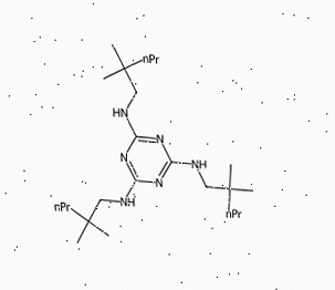 CCCC(C)(C)CNc1nc(NCC(C)(C)CCC)nc(NCC(C)(C)CCC)n1